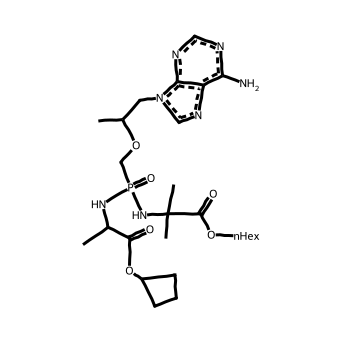 CCCCCCOC(=O)C(C)(C)NP(=O)(COC(C)Cn1cnc2c(N)ncnc21)NC(C)C(=O)OC1CCC1